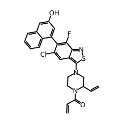 C=CC(=O)N1CCN(c2snc3c(F)c(-c4cc(O)cc5ccccc45)c(Cl)cc23)CC1C=C